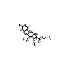 CCOC(=O)C1=C(C)c2c(C)c3c(cc2=N1)-c1ccc(F)cc1N=3